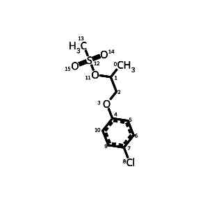 CC(COc1ccc(Cl)cc1)OS(C)(=O)=O